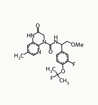 COCC(NC(=O)N1CC(=O)Nc2cc(C)cnc21)c1ccc(OC(C)(C)F)c(F)c1